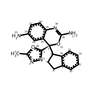 Cc1nnc([C@]2(C3CCc4ccccc43)OC(N)=Nc3ccc(N)cc32)o1